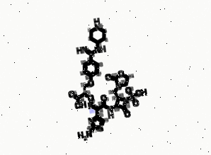 N=C(NC1CCNCC1)c1ccc(OC[C@H](O/N=C(\C(=O)N[C@@H]2C(=O)N(S(=O)(=O)O)[C@@H]2CN2CCOC2=O)c2csc(N)n2)C(=O)O)cc1